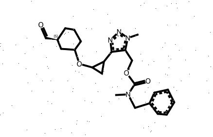 CN(Cc1ccccc1)C(=O)OCc1c(C2CC2OC2CCC[C@H](C=O)C2)nnn1C